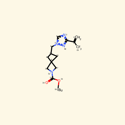 C=C(c1ncn(CC2CC3(C2)CN(C(=O)OC(C)(C)C)C3)n1)C(F)(F)F